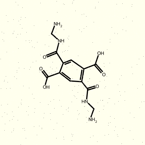 NCNC(=O)c1cc(C(=O)O)c(C(=O)NCN)cc1C(=O)O